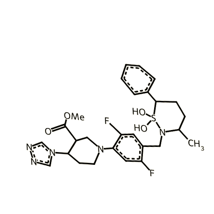 COC(=O)C1CN(c2cc(F)c(CN3C(C)CCC(c4ccccc4)S3(O)O)cc2F)CCC1n1cnnc1